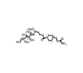 CCCCCCN(CCCC(=O)N1CCC(COC(N)=O)CC1)C[C@H](O)[C@@H](O)[C@H](O)[C@H](O)CO